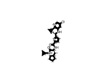 C[C@@H](Nc1cc(Cl)cnc1C1CC1)c1ccc(C(=O)N[C@@H](CC2CCCC2)C(=O)NC2CC2)s1